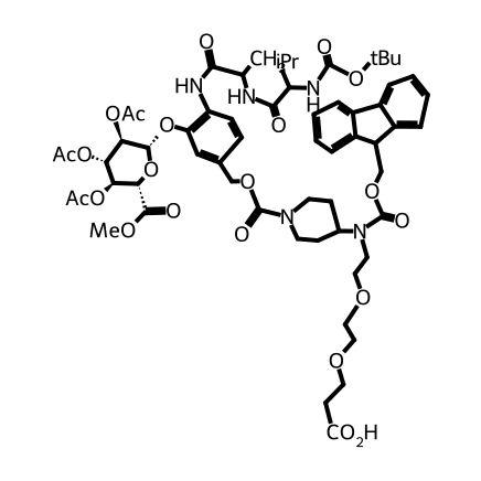 COC(=O)[C@H]1O[C@@H](Oc2cc(COC(=O)N3CCC(N(CCOCCOCCC(=O)O)C(=O)OCC4c5ccccc5-c5ccccc54)CC3)ccc2NC(=O)C(C)NC(=O)C(NC(=O)OC(C)(C)C)C(C)C)[C@H](OC(C)=O)[C@@H](OC(C)=O)[C@@H]1OC(C)=O